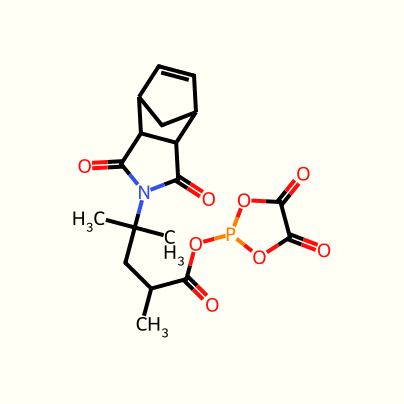 CC(CC(C)(C)N1C(=O)C2C3C=CC(C3)C2C1=O)C(=O)Op1oc(=O)c(=O)o1